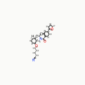 CC(C)N(Cc1ccccc1OCCCCC#N)C(=O)c1ccc(-c2ccco2)cc1